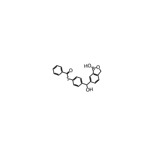 O=C(Sc1ccc(C(O)c2ccc3c(c2)B(O)OC3)cc1)c1ccccc1